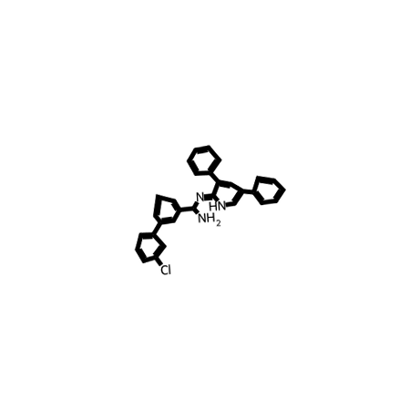 NC(/N=c1\[nH]cc(-c2ccccc2)cc1-c1ccccc1)c1cccc(-c2cccc(Cl)c2)c1